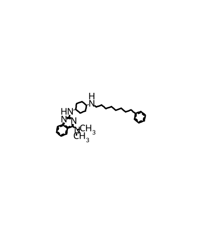 CN(C)c1nc(N[C@H]2CC[C@@H](NCCCCCCCCc3ccccc3)CC2)nc2ccccc12